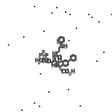 CC(O)[C@@H](NC(=O)CCCNc1ccccn1)C(=O)NC(CC(=O)O)c1ccc(-c2ccccc2)cc1.O=C(O)C(F)(F)F